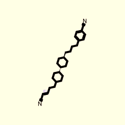 N#C/C=C/CCC1CCC([C@H]2CC[C@H](CCCCc3ccc(C#N)cc3)CC2)CC1